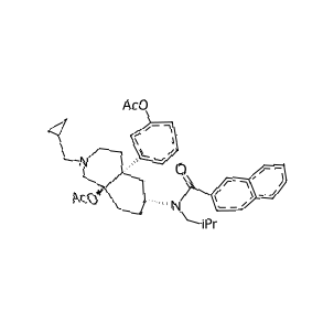 CC(=O)Oc1cccc([C@@]23CCN(CC4CC4)C[C@@]2(OC(C)=O)CC[C@@H](N(CC(C)C)C(=O)c2ccc4ccccc4c2)C3)c1